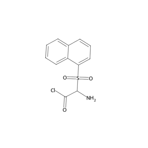 NC(C(=O)Cl)S(=O)(=O)c1cccc2ccccc12